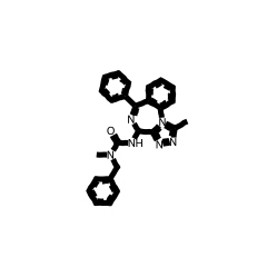 Cc1nnc2n1-c1ccccc1C(c1ccccc1)=NC2NC(=O)N(C)Cc1ccccc1